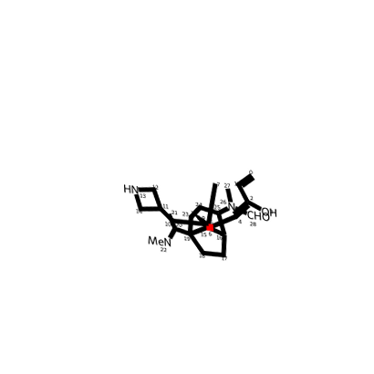 C=C/C(O)=C\C1=C(C)CC(CC2CNC2)C12C1CCC2(C(C)NC)CCC1N(C)C=O